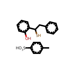 Cc1ccc(S(=O)(=O)O)cc1.Oc1ccccc1C(S)Cc1ccccc1